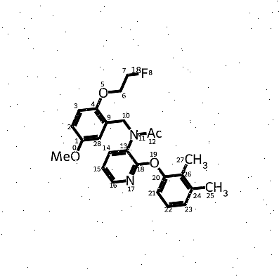 COc1ccc(OCC[18F])c(CN(C(C)=O)c2cccnc2Oc2cccc(C)c2C)c1